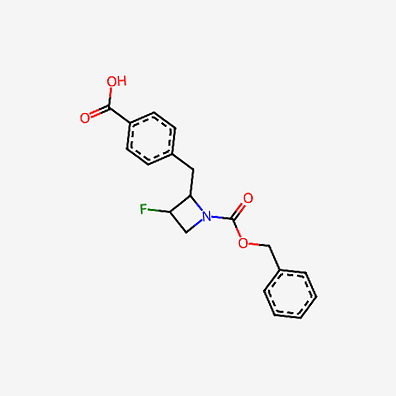 O=C(O)c1ccc(CC2C(F)CN2C(=O)OCc2ccccc2)cc1